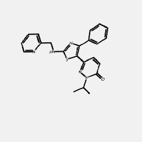 CC(C)n1nc(-c2sc(NCc3ccccn3)nc2-c2ccccc2)ccc1=O